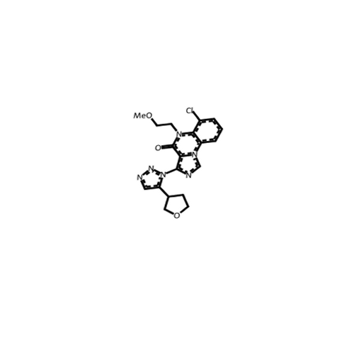 COCCn1c(=O)c2c(-n3nncc3C3CCOC3)ncn2c2cccc(Cl)c21